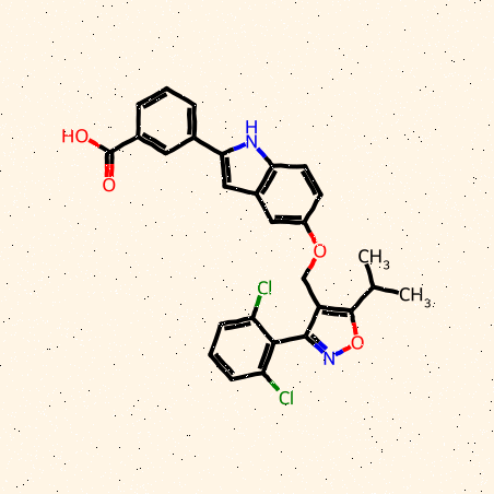 CC(C)c1onc(-c2c(Cl)cccc2Cl)c1COc1ccc2[nH]c(-c3cccc(C(=O)O)c3)cc2c1